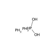 OPO.P.P